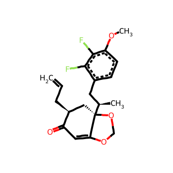 C=CC[C@H]1C[C@]2([C@H](C)Cc3ccc(OC)c(F)c3F)OCOC2=CC1=O